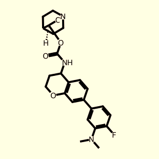 CN(C)c1cc(-c2ccc3c(c2)OCCC3NC(=O)O[C@@H]2CN3CCC2CC3)ccc1F